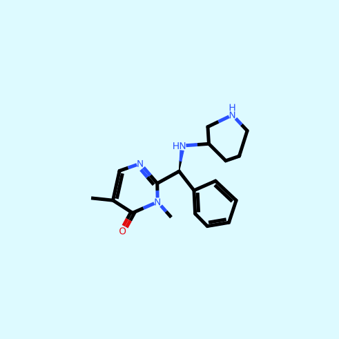 Cc1cnc([C@@H](NC2CCCNC2)c2ccccc2)n(C)c1=O